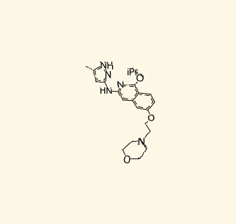 Cc1cc(Nc2cc3cc(OCCN4CCOCC4)ccc3c(OC(C)C)n2)n[nH]1